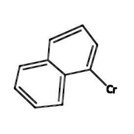 [Cr][c]1cccc2ccccc12